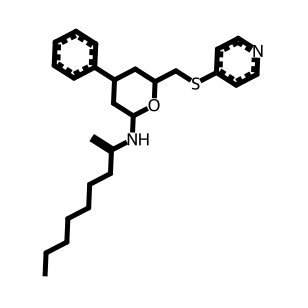 C=C(CCCCCCC)NC1CC(c2ccccc2)CC(CSc2ccncc2)O1